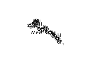 COc1cc2c(Oc3ccc(NC(=O)Nc4ccc(C(F)(F)F)cc4)cc3)ccnc2cc1OCCC(NC(=O)OC(C)(C)C)C(=O)OC1CCCC1